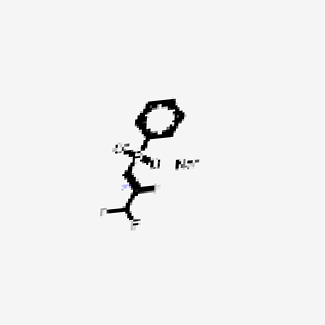 O=P([O-])(/C=C(\F)C(F)F)c1ccccc1.[Na+]